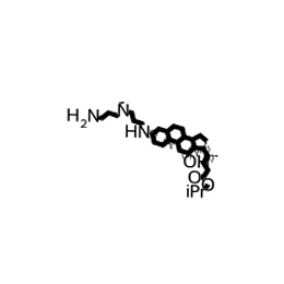 CC(C)OC(=O)CC[C@@H](C)[C@H]1CCC2C3CCC4C[C@@H](NCCCN(C)CCCN)CC[C@]4(C)C3C[C@H](O)[C@@]21C